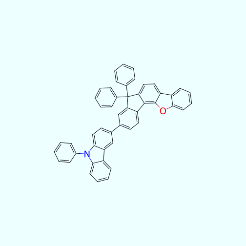 c1ccc(-n2c3ccccc3c3cc(-c4ccc5c(c4)C(c4ccccc4)(c4ccccc4)c4ccc6c(oc7ccccc76)c4-5)ccc32)cc1